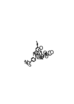 CC#Cc1cc2cnc(Nc3ccc(C4CN(C)CCS4)cc3)nc2n(Cc2nn(C)cc2S(=O)(=O)N2CCOCC2)c1=O